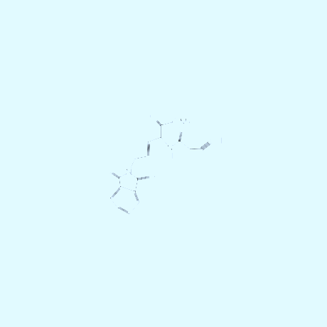 C#CCC(=O)NC(C=CCN1C(=O)c2ccccc2C1=O)C(=O)OC